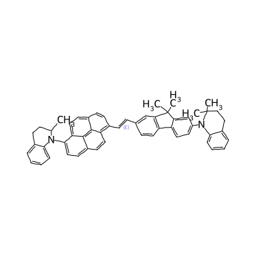 CC1CCc2ccccc2N1c1ccc2ccc3c(/C=C/c4ccc5c(c4)C(C)(C)c4cc(N6c7ccccc7CCC6(C)C)ccc4-5)ccc4ccc1c2c43